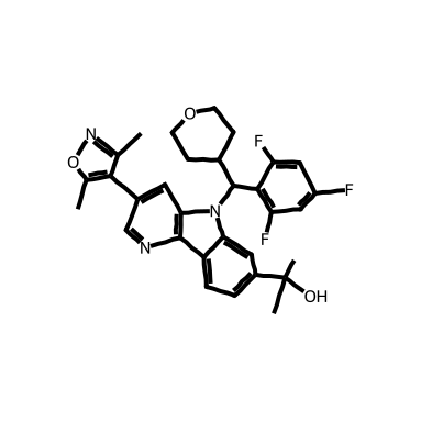 Cc1noc(C)c1-c1cnc2c3ccc(C(C)(C)O)cc3n(C(c3c(F)cc(F)cc3F)C3CCOCC3)c2c1